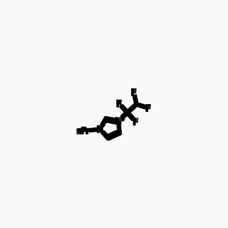 CCCn1cc[n+](C(F)(F)C(F)F)c1